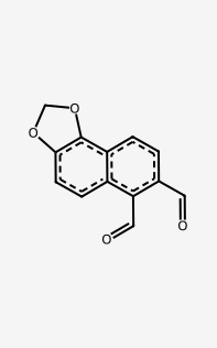 O=Cc1ccc2c3c(ccc2c1C=O)OCO3